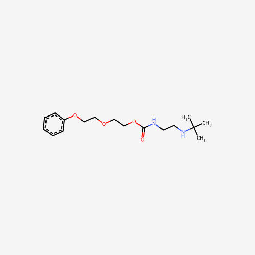 CC(C)(C)NCCNC(=O)OCCOCCOc1ccccc1